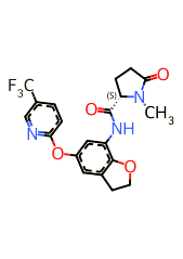 CN1C(=O)CC[C@H]1C(=O)Nc1cc(Oc2ccc(C(F)(F)F)cn2)cc2c1OCC2